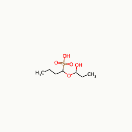 CCCC(OC(O)CC)S(=O)(=O)O